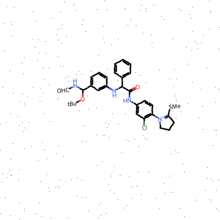 CSC1=[N+](c2ccc(NC(=O)C(Nc3cccc(C(NC=O)OC(C)(C)C)c3)c3ccccc3)cc2Cl)CCC1